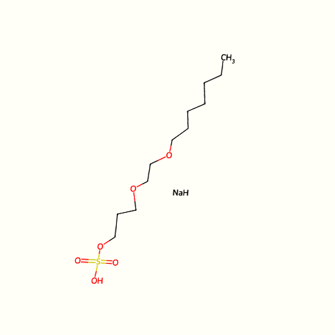 CCCCCCCOCCOCCCOS(=O)(=O)O.[NaH]